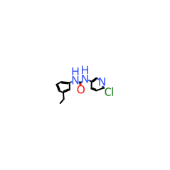 CCc1cccc(NC(=O)Nc2ccc(Cl)nc2)c1